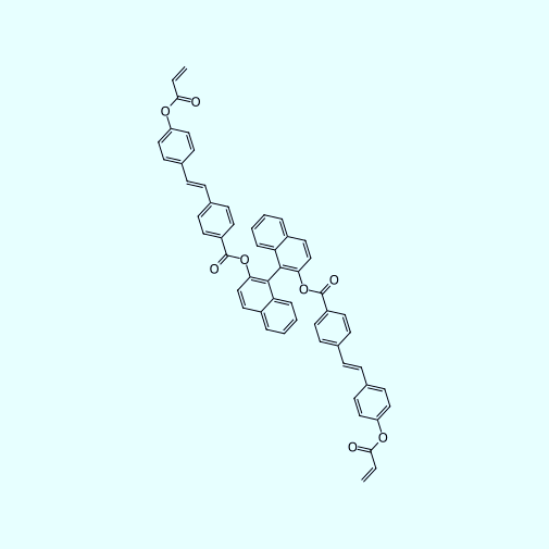 C=CC(=O)Oc1ccc(/C=C/c2ccc(C(=O)Oc3ccc4ccccc4c3-c3c(OC(=O)c4ccc(/C=C/c5ccc(OC(=O)C=C)cc5)cc4)ccc4ccccc34)cc2)cc1